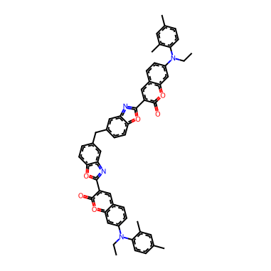 CCN(c1ccc2cc(-c3nc4cc(Cc5ccc6oc(-c7cc8ccc(N(CC)c9ccc(C)cc9C)cc8oc7=O)nc6c5)ccc4o3)c(=O)oc2c1)c1ccc(C)cc1C